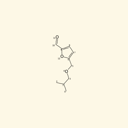 CC(C)COCc1ccc(C=O)o1